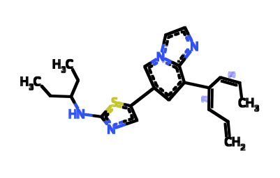 C=C/C=C(\C=C/C)c1cc(-c2cnc(NC(CC)CC)s2)cn2ccnc12